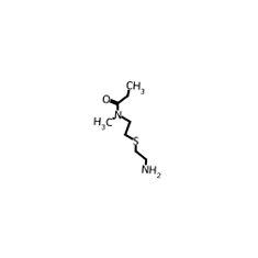 CCC(=O)N(C)CCSCCN